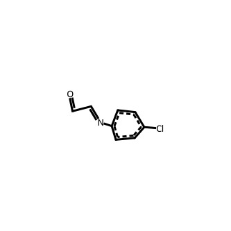 O=CC=Nc1ccc(Cl)cc1